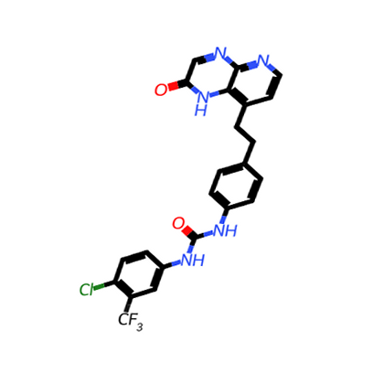 O=C(Nc1ccc(CCc2ccnc3ncc(=O)[nH]c23)cc1)Nc1ccc(Cl)c(C(F)(F)F)c1